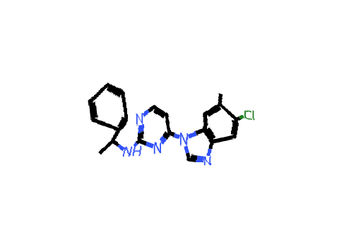 Cc1cc2c(cc1Cl)ncn2-c1ccnc(NC(C)c2ccccc2)n1